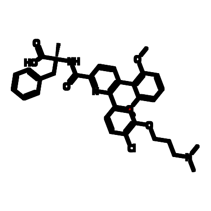 COc1cccc(OC)c1-c1ccc(C(=O)N[C@@](C)(Cc2ccccc2)C(=O)O)nc1-c1ccc(Cl)c(OCCCN(C)C)c1